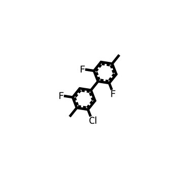 Cc1cc(F)c(-c2cc(F)c(C)c(Cl)c2)c(F)c1